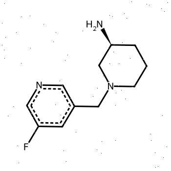 N[C@H]1CCCN(Cc2cncc(F)c2)C1